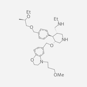 CCNC[C@@H]1CNC[C@H](OCc2ccc3c(c2)N(CCCOC)CCO3)[C@H]1c1ccc(COC[C@@H](C)OCC)cc1